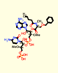 C=CCCC(=O)N(C)[C@@H](COCc1ccccc1)C(=O)O[C@@H]([C@@H](O)n1cnc2c(N)ncnc21)[C@@H](COP(=O)(O)O[C@@H]([C@@H](O)n1ccc(N)nc1=O)[C@@H](COP(=O)(O)O)OC)OC